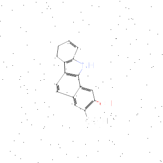 O=C(O)c1cc2ccc3c4c([nH]c3c2cc1O)C=CCC4